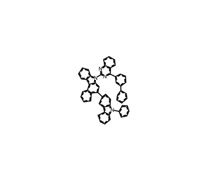 c1ccc(-c2cccc(-c3nc(-n4c5ccccc5c5c6ccccc6c(-c6ccc7c(c6)c6ccccc6n7-c6ccccc6)cc54)nc4ccccc34)c2)cc1